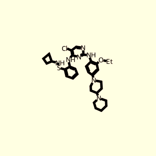 CCOc1cc(N2CCC(N3CCCCC3)CC2)ccc1Nc1ncc(Cl)c(Nc2ccccc2SNC2CCC2)n1